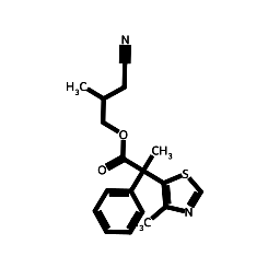 Cc1ncsc1C(C)(C(=O)OCC(C)CC#N)c1ccccc1